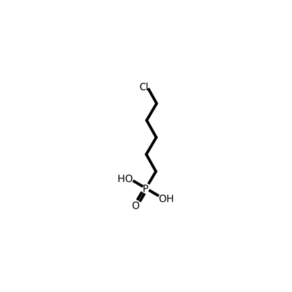 O=P(O)(O)CCCCCCl